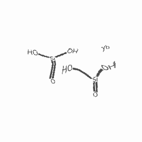 O=[Si](O)O.O=[Si](O)O.[Yb]